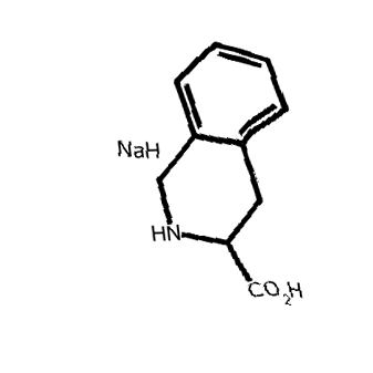 O=C(O)C1Cc2ccccc2CN1.[NaH]